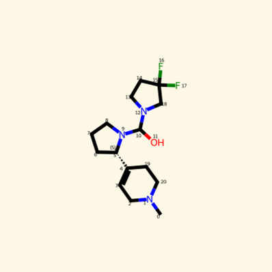 CN1CC=C([C@@H]2CCCN2C(O)N2CCC(F)(F)C2)CC1